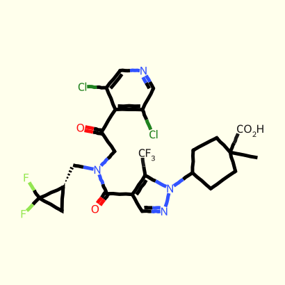 CC1(C(=O)O)CCC(n2ncc(C(=O)N(CC(=O)c3c(Cl)cncc3Cl)C[C@@H]3CC3(F)F)c2C(F)(F)F)CC1